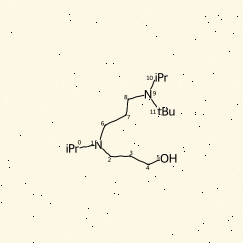 CC(C)N(CCCO)CCCN(C(C)C)C(C)(C)C